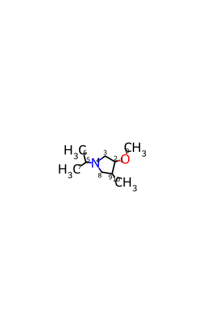 COC1CN(C(C)C)CC1C